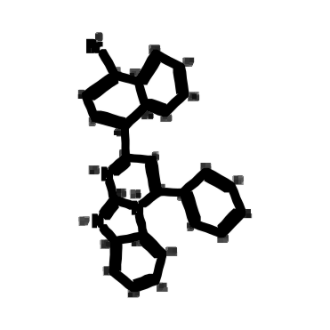 Brc1ccc(-c2cc(-c3ccccc3)n3c(n2)nc2ccccc23)c2ccccc12